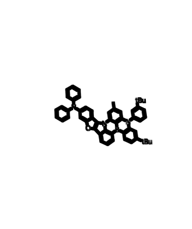 Cc1cc2c3c(c1)-n1c4c(cccc4c4oc5cc(N(c6ccccc6)c6ccccc6)ccc5c41)B3c1ccc(C(C)(C)C)cc1N2c1cccc(C(C)(C)C)c1